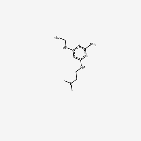 CN(C)CCNc1cc(NCC(C)(C)C)nc(N)n1